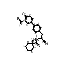 N#CC(Cc1ccc(-c2ccc(=O)n(C(F)F)c2)cc1)NC(=O)C1(N)CCCCC1